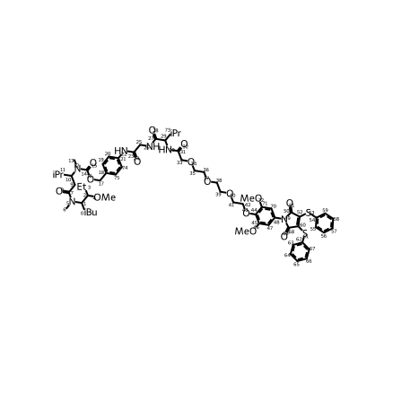 CCC(C)C(C(CC)OC)N(C)C(=O)CC(C(C)C)N(C)C(=O)OCc1ccc(NC(=O)CNC(=O)C(NC(=O)COCCOCCOCCOc2c(OC)cc(N3C(=O)C(Sc4ccccc4)=C(Sc4ccccc4)C3=O)cc2OC)C(C)C)cc1